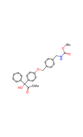 COC(=O)C(O)(c1ccccc1)c1ccc(OCc2ccc(CNC(=O)OC(C)(C)C)cc2)cc1